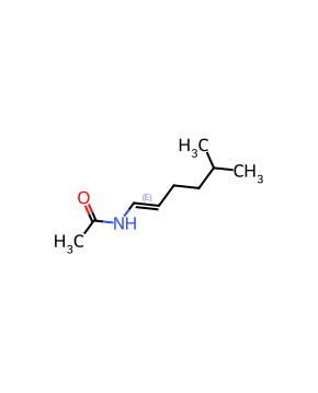 CC(=O)N/C=C/CCC(C)C